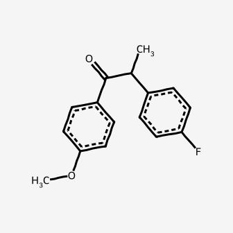 COc1ccc(C(=O)C(C)c2ccc(F)cc2)cc1